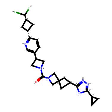 O=C(N1CC(c2ccc([C@H]3C[C@H](C(F)F)C3)nc2)C1)N1CC2(CC(c3nnc(C4CC4)[nH]3)C2)C1